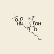 CCCCCCN(CCNC(=O)OC(C)(C)C)[C@@H](CC(F)(F)F)C(=O)O